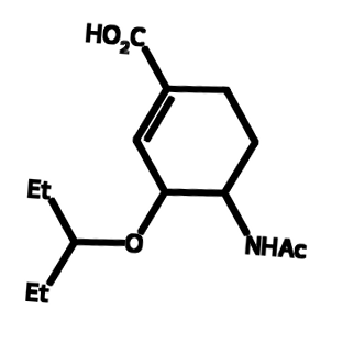 CCC(CC)OC1C=C(C(=O)O)CCC1NC(C)=O